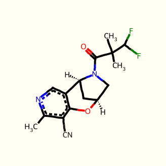 Cc1ncc2c(c1C#N)O[C@H]1C[C@@H]2N(C(=O)C(C)(C)C(F)F)C1